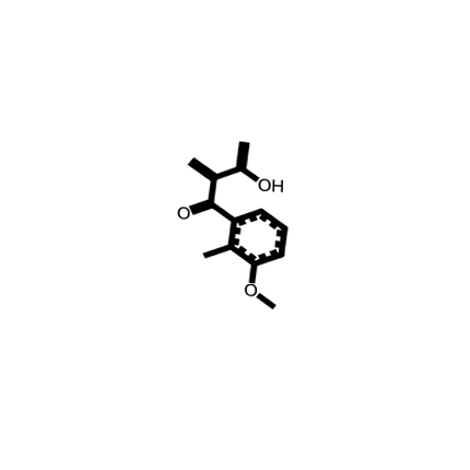 C=C(O)C(=C)C(=O)c1cccc(OC)c1C